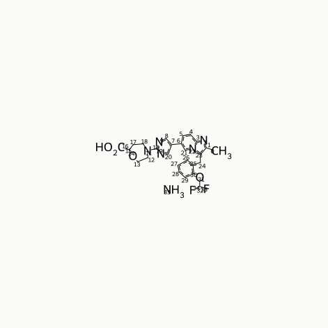 Cc1nc2ccc(-c3cnc(N4CCOC(C(=O)O)CC4)nc3)cn2c1Cc1ccccc1OC(F)F.N